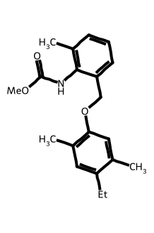 CCc1cc(C)c(OCc2cccc(C)c2NC(=O)OC)cc1C